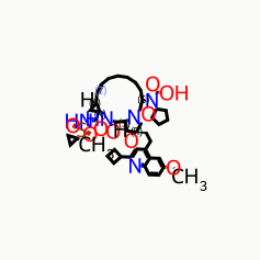 COc1ccc2nc(C3CCC3)c3c(c2c1)CC[C@]1(C[C@H]2C(=O)N[C@]4(C(=O)NS(=O)(=O)C5(C)CC5)C[C@H]4/C=C\CCCCC[C@H](N(C(=O)O)C4CCCC4)C(=O)N2C1)O3